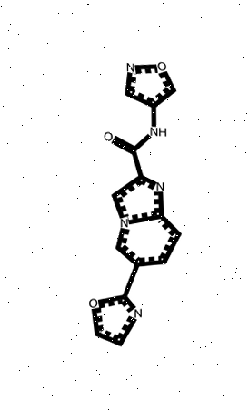 O=C(Nc1cnoc1)c1cn2cc(-c3ncco3)ccc2n1